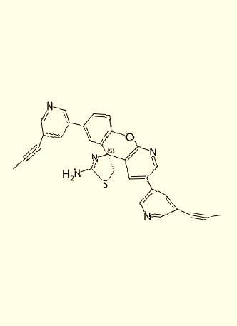 CC#Cc1cncc(-c2ccc3c(c2)[C@@]2(CSC(N)=N2)c2cc(-c4cncc(C#CC)c4)cnc2O3)c1